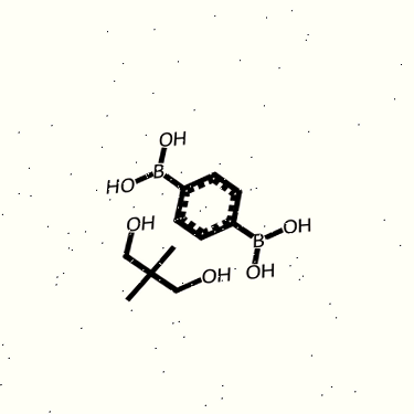 CC(C)(CO)CO.OB(O)c1ccc(B(O)O)cc1